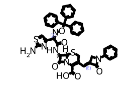 Nc1nc(/C(=N/OC(c2ccccc2)(c2ccccc2)c2ccccc2)C(=O)N[C@@H]2C(=O)N3C(C(=O)O)=C(/C=C4\CN(c5ccccc5)C4=O)CS[C@H]23)cs1